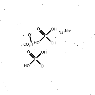 O=C([O-])O.O=P(O)(O)O.O=P([O-])(O)O.[Na+].[Na+]